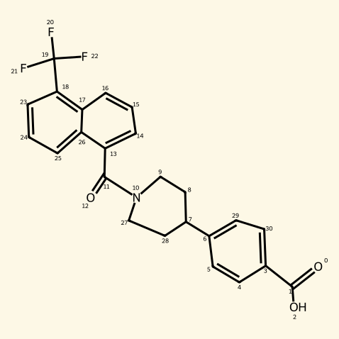 O=C(O)c1ccc(C2CCN(C(=O)c3cccc4c(C(F)(F)F)cccc34)CC2)cc1